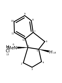 CN[C@]12CCC[C@H]1Cc1ccccc12.Cl